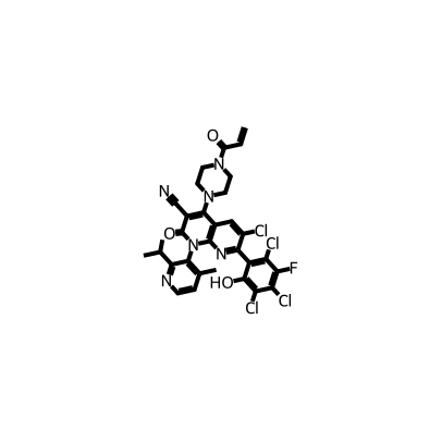 C=CC(=O)N1CCN(c2c(C#N)c(=O)n(-c3c(C)ccnc3C(C)C)c3nc(-c4c(O)c(Cl)c(Cl)c(F)c4Cl)c(Cl)cc23)CC1